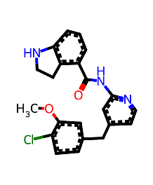 COc1cc(Cc2ccnc(NC(=O)c3cccc4c3CCN4)c2)ccc1Cl